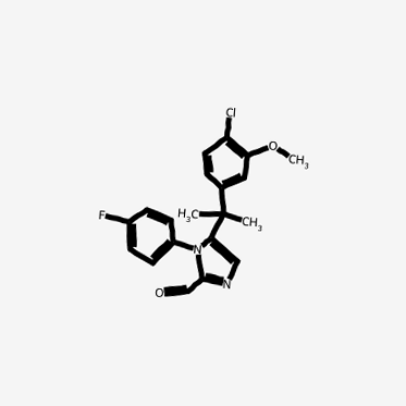 COc1cc(C(C)(C)c2cnc(C=O)n2-c2ccc(F)cc2)ccc1Cl